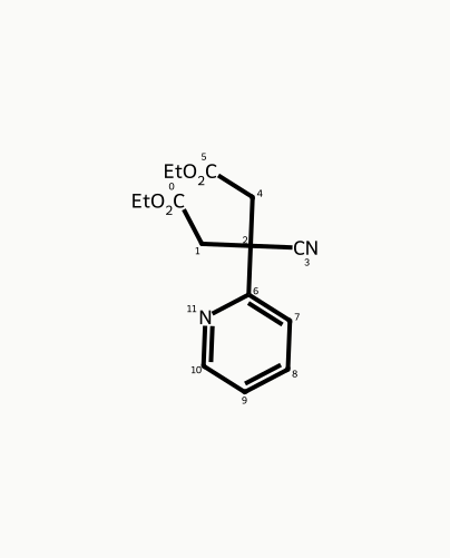 CCOC(=O)CC(C#N)(CC(=O)OCC)c1ccccn1